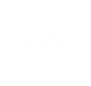 O=C(NCc1cccs1)c1nc2c(C(F)(F)F)cc(-c3ccc(F)c(F)c3)cn2c1Cl